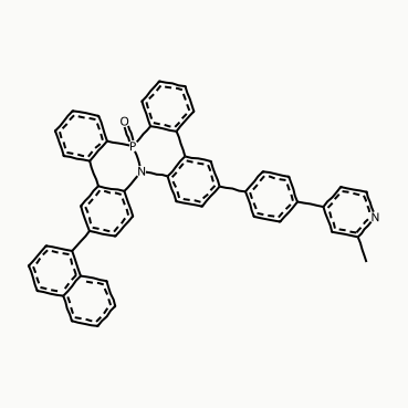 Cc1cc(-c2ccc(-c3ccc4c(c3)-c3ccccc3P3(=O)c5ccccc5-c5cc(-c6cccc7ccccc67)ccc5N43)cc2)ccn1